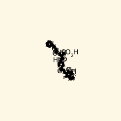 Cc1c(/C=C/C(=O)N2CCC(NC(=O)C(CNC(=O)COCc3ccccc3)CC(=O)O)CC2)c(Cl)c(Cl)c2sccc12